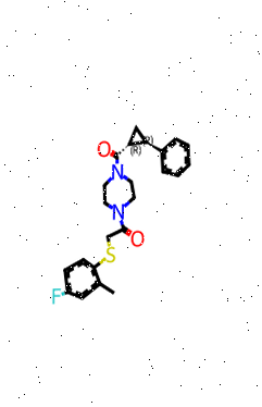 Cc1cc(F)ccc1SCC(=O)N1CCN(C(=O)[C@@H]2C[C@H]2c2ccccc2)CC1